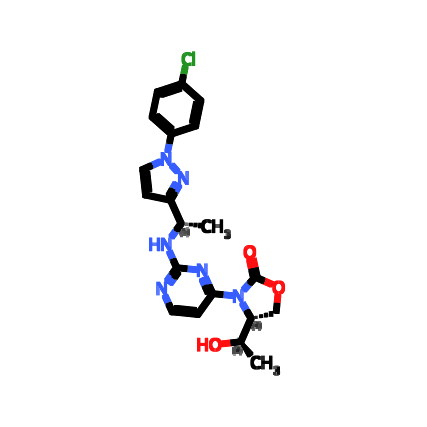 C[C@H](Nc1nccc(N2C(=O)OC[C@@H]2[C@@H](C)O)n1)c1ccn(-c2ccc(Cl)cc2)n1